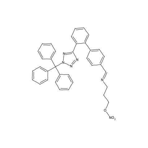 O=[N+]([O-])OCCC/N=C/c1ccc(-c2ccccc2-c2nnn(C(c3ccccc3)(c3ccccc3)c3ccccc3)n2)cc1